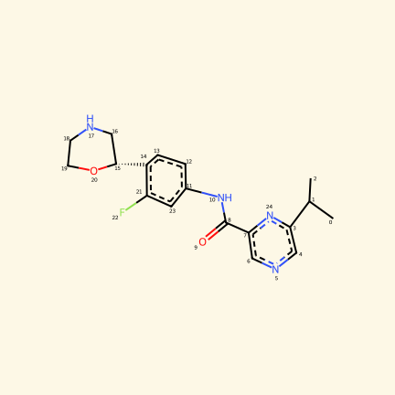 CC(C)c1cncc(C(=O)Nc2ccc([C@H]3CNCCO3)c(F)c2)n1